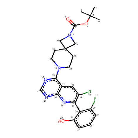 CC(C)(C)OC(=O)N1CC2(CCN(c3ncnc4nc(-c5c(O)cccc5F)c(Cl)cc34)CC2)C1